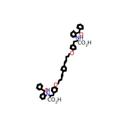 O=C(c1ccccc1)c1ccccc1NC(Cc1ccc(OC/C=C/C#Cc2ccc(C#C/C=C/COc3ccc(CC(Nc4ccccc4C(=O)c4ccccc4)C(=O)O)cc3)cc2)cc1)C(=O)O